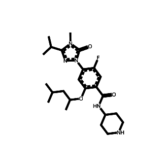 CC(C)CC(C)Oc1cc(-n2nc(C(C)C)n(C)c2=O)c(F)cc1C(=O)NC1CCNCC1